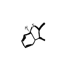 C=C1S[C@@H]2C=CC=CC2C1=C